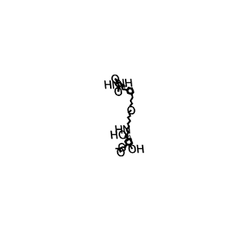 CC(=O)OCc1cc([C@@H](O)CNCCCCCCOCCCCc2cccc(C[C@]3(C)NC(=O)NC3=O)c2)ccc1O